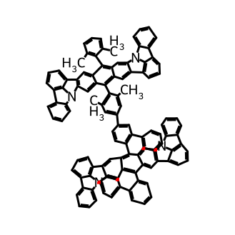 Cc1cccc(C)c1-c1c2cc3c4cccc5c6ccccc6n(c3cc2c(-c2c(C)cc(-c3ccc(-c6c7cc8c9cccc%10c%11ccccc%11n(c8cc7c(-c7ccccc7-c7ccccc7)c7cc8c%11cccc%12c%13ccccc%13n(c8cc67)c%12%11)c%109)c(-c6ccccc6)c3)cc2C)c2cc3c6cccc7c8ccccc8n(c3cc12)c76)c54